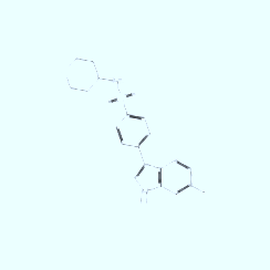 O=S(=O)(NC1CCOCC1)c1ccc(-c2c[nH]c3cc(F)ccc23)cc1